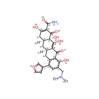 CCN(CC)Cc1cc(-c2ccoc2)c2c(c1O)C(=O)C1=C(O)[C@]3(O)C(=O)C(C(N)=O)=C(O)C[C@@H]3C[C@@H]1C2